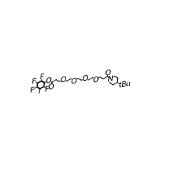 Cc1c(F)c(F)c(F)c(OC(=O)CCOCCOCCOCCOCCC(=O)N2CCC(C(C)(C)C)CC2)c1F